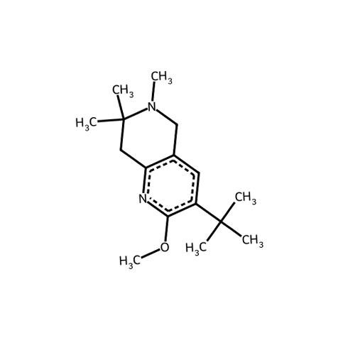 COc1nc2c(cc1C(C)(C)C)CN(C)C(C)(C)C2